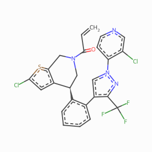 C=CC(=O)N1Cc2sc(Cl)cc2[C@H](c2ccccc2-c2cn(-c3ccncc3Cl)nc2C(F)(F)F)C1